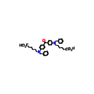 O=C(O)CCCCCN(Cc1ccccc1)c1ccc(C(=O)c2ccc(N(CCCCCC(=O)O)Cc3ccccc3)cc2)cc1